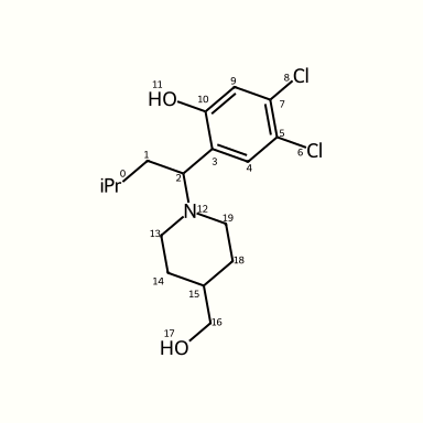 CC(C)CC(c1cc(Cl)c(Cl)cc1O)N1CCC(CO)CC1